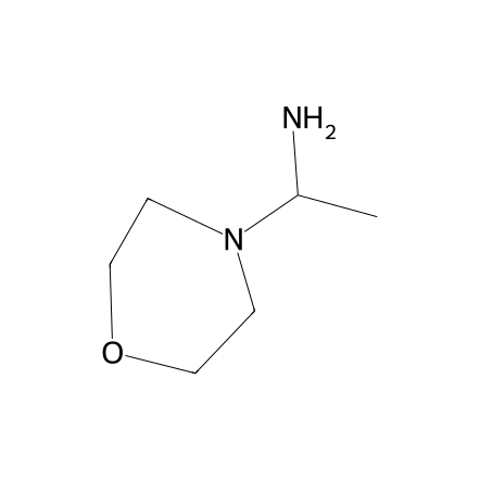 CC(N)N1CCOCC1